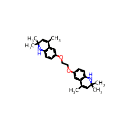 CC1=CC(C)(C)Nc2ccc(OCCOc3ccc4c(c3)C(C)=CC(C)(C)N4)cc21